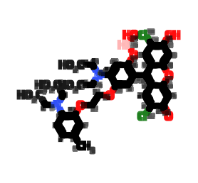 Cc1ccc(N(CC(=O)O)CC(=O)O)c(OCCOc2cc(-c3c4cc(Cl)c(=O)cc-4oc4cc(O)c(Cl)cc34)c(OBO)cc2N(CC(=O)O)CC(=O)O)c1